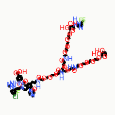 CN1CCN(c2cc(CCCNC(=O)COCCOCCOCC(=O)NC(COCCC(=O)NCCOCCOCCOCCOC[C@H]3OC[C@H](Nc4cncc(C(F)(F)F)n4)[C@@H](O)[C@H]3O)COCCC(=O)NCCOCCOCCOCCOC[C@H]3OCC[C@@H](O)[C@H]3O)cc3c2CCN(C(=O)/C=C/c2c(-n4cnnn4)ccc(Cl)c2F)[C@@H]3C(=O)Nc2ccc(C(=O)O)cc2)C(=O)C1